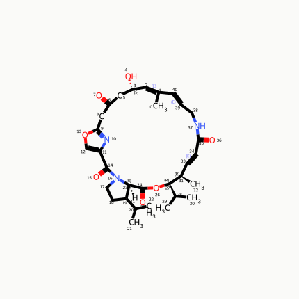 CC1=C\[C@@H](O)CC(=O)Cc2nc(co2)C(=O)N2CCC(C(C)C)[C@@H]2C(=O)O[C@H](C(C)C)[C@H](C)/C=C/C(=O)NC\C=C\1